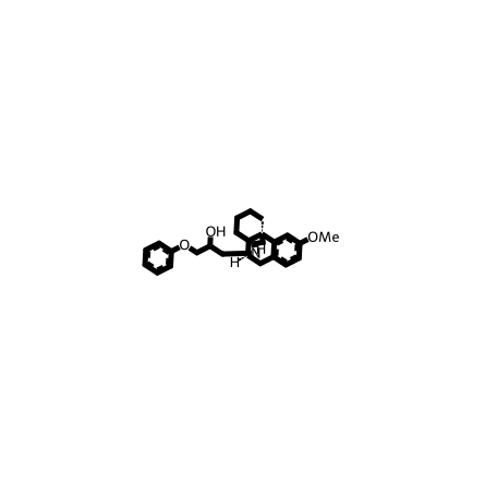 COc1ccc2c(c1)[C@]13CCCC[C@@H]1[C@H](C2)N(CC(O)COc1ccccc1)CC3